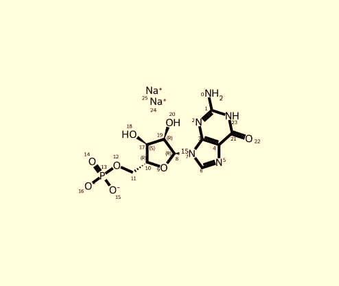 Nc1nc2c(nc[15n]2[C@@H]2O[C@H](COP(=O)([O-])[O-])[C@@H](O)[C@H]2O)c(=O)[nH]1.[Na+].[Na+]